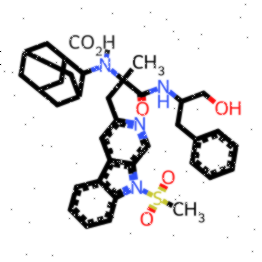 CC(Cc1cc2c3ccccc3n(S(C)(=O)=O)c2cn1)(C(=O)NC(CO)Cc1ccccc1)N(C(=O)O)C1C2CC3CC(C2)CC1C3